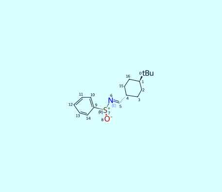 CC(C)(C)[C@H]1CC[C@H](/C=N/[S@@+]([O-])c2ccccc2)CC1